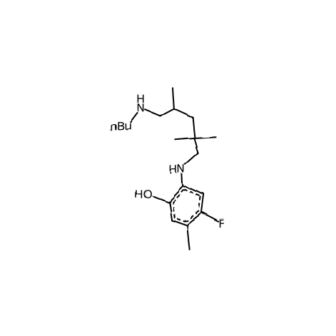 CCCCNCC(C)CC(C)(C)CNc1cc(F)c(C)cc1O